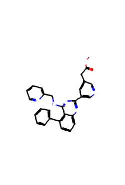 COC(=O)Cc1cncc(-c2nc(NCc3ccccn3)c3c(-c4ccccc4)cccc3n2)c1